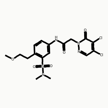 COCCc1ccc(NC(=O)Cn2ncc(Cl)c(Cl)c2=O)cc1S(=O)(=O)N(C)C